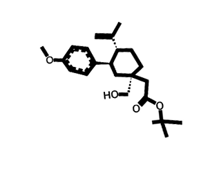 C=C(C)[C@@H]1CC[C@@](CO)(CC(=O)OC(C)(C)C)C[C@H]1c1ccc(OC)cc1